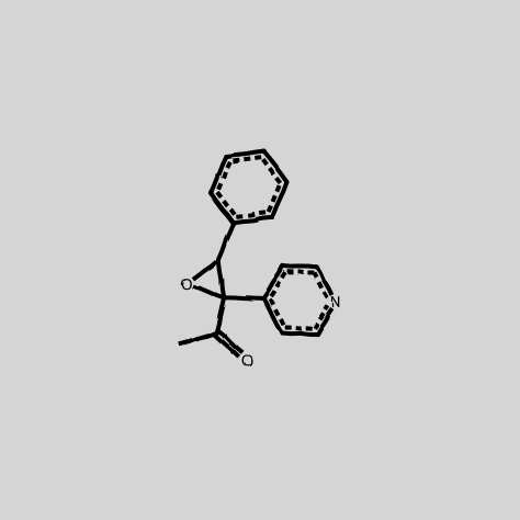 CC(=O)C1(c2ccncc2)OC1c1ccccc1